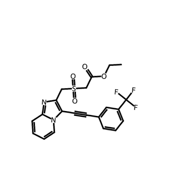 CCOC(=O)CS(=O)(=O)Cc1nc2ccccn2c1C#Cc1cccc(C(F)(F)F)c1